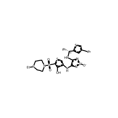 CCN1CCN(S(=O)(=O)c2scc(Nc3n[s+]([O-])nc3N[C@@H](c3cc(C(C)C)cs3)C(C)C)c2O)CC1